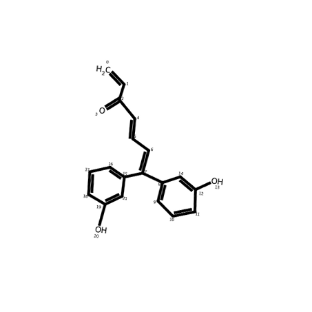 C=CC(=O)C=CC=C(c1cccc(O)c1)c1cccc(O)c1